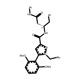 CCC(C)Cn1nc(C(=O)N[C@H](CC(=O)NC(C)C)CC(C)C)cc1-c1c(OC)cccc1OC